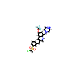 CC(Cl)S(=O)(=O)c1cccc(Cc2cnc3c(CN4CCNCC4)cc(OC(F)(F)F)cc3c2)c1